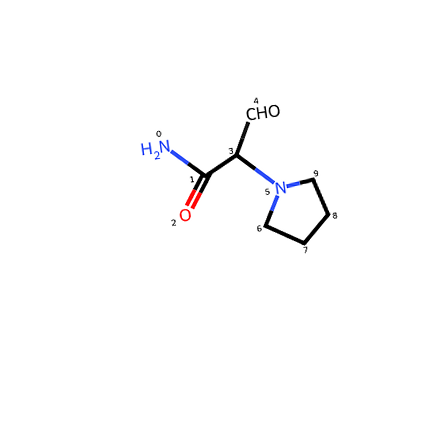 NC(=O)C(C=O)N1CCCC1